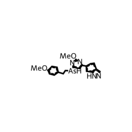 COc1ccc(CC[AsH]c2cc(-c3ccc4cn[nH]c4c3)nc(OC)n2)cc1